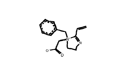 C=CC1=NCC[N+]1(CC(=O)[O-])Cc1ccccc1